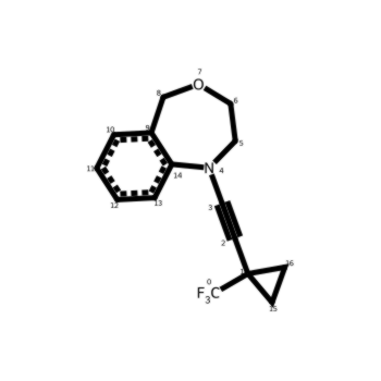 FC(F)(F)C1(C#CN2CCOCc3ccccc32)CC1